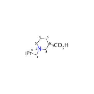 CC(C)CN1CCCC(C(=O)O)C1